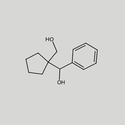 OCC1(C(O)c2ccccc2)CCCC1